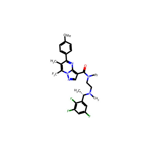 COc1ccc(-c2nc3c(C(=O)N(CCN(C)[C@@H](C)c4cc(F)cc(F)c4F)C(C)C)cnn3c(C(F)(F)F)c2C)cc1